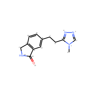 Cn1cnnc1CCc1ccc2c(c1)C(=O)NC2